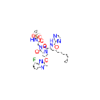 Cc1nc2cccc(F)c2nc1O[C@@H]1C[C@@H](C(=O)NCC(=O)NS(=O)(=O)C2(C)CC2)N(C(=O)[C@H](CCCCC/C=C\C2CC2)NC(=O)c2cnccn2)C1